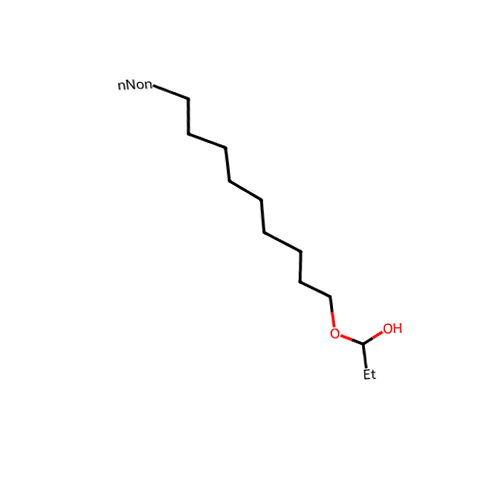 CCCCCCCCCCCCCCCCCCOC(O)CC